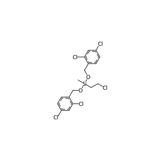 C[Si](CCCl)(OCc1ccc(Cl)cc1Cl)OCc1ccc(Cl)cc1Cl